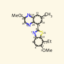 CCc1c(OC)ccc2nc(-c3cc(C)cc4nc(OC)cnc34)sc12